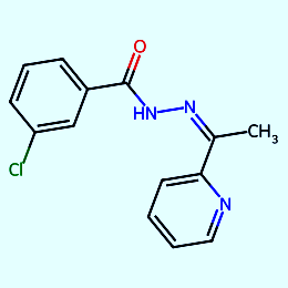 CC(=NNC(=O)c1cccc(Cl)c1)c1ccccn1